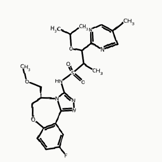 COC[C@@H]1COc2ccc(F)cc2-c2nnc(NS(=O)(=O)C(C)C(OC(C)C)c3ncc(C)cn3)n21